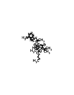 CCCCOC(=O)C(C)(C)NP(=O)(CO[C@H](C)Cn1cnc2c(N)ncnc21)OCC(=O)OC(C)C